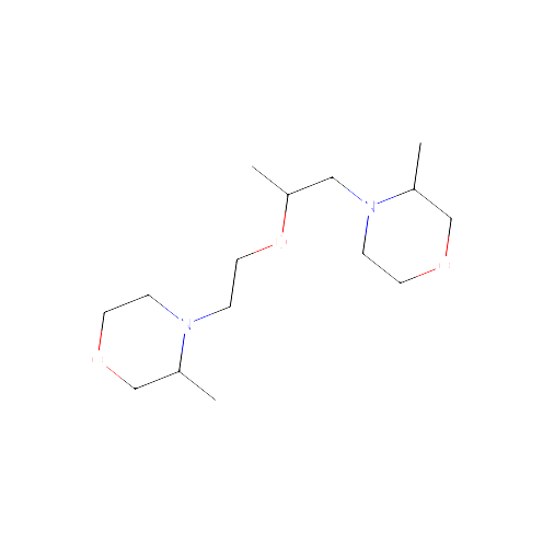 CC(CN1CCOCC1C)OCCN1CCOCC1C